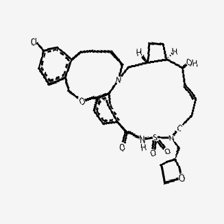 O=C1NS(=O)(=O)N(C[C@@H]2CCO2)CC/C=C/C(O)[C@@H]2CC[C@H]2CN2CCCCc3cc(Cl)ccc3COc3ccc1cc32